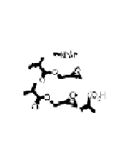 C=C(C)C(=O)O.C=C(C)C(=O)OCC1CO1.C=C(C)C(=O)OCC1CO1.CNC